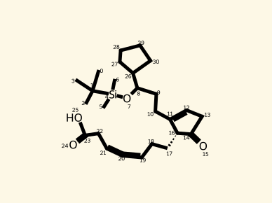 CC(C)(C)[Si](C)(C)OC(CCC1=CCC(=O)[C@@H]1CCC=C=CCC(=O)O)C1CCCC1